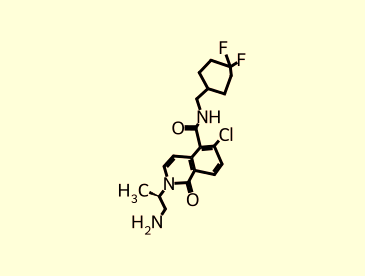 C[C@H](CN)n1ccc2c(C(=O)NCC3CCC(F)(F)CC3)c(Cl)ccc2c1=O